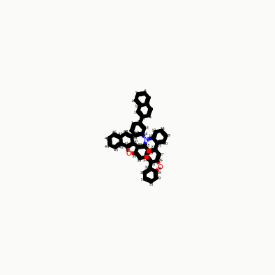 c1cc(-c2ccc3ccccc3c2)cc(N(c2ccccc2-c2ccc3c(c2)oc2ccccc23)c2cccc3oc4c5ccccc5ccc4c23)c1